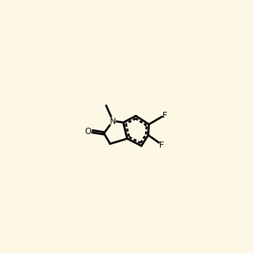 CN1C(=O)Cc2cc(F)c(F)cc21